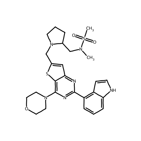 CN(CC1CCCN1Cc1cc2nc(-c3cccc4[nH]ccc34)nc(N3CCOCC3)c2s1)S(C)(=O)=O